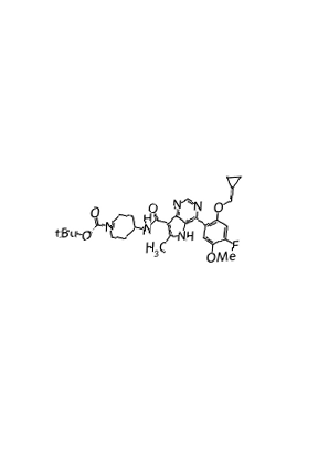 COc1cc(-c2ncnc3c(C(=O)NC4CCN(C(=O)OC(C)(C)C)CC4)c(C)[nH]c23)c(OCC2CC2)cc1F